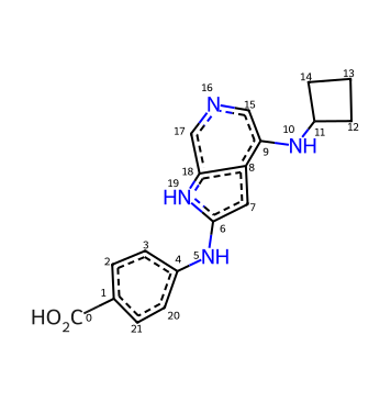 O=C(O)c1ccc(Nc2cc3c(NC4CCC4)cncc3[nH]2)cc1